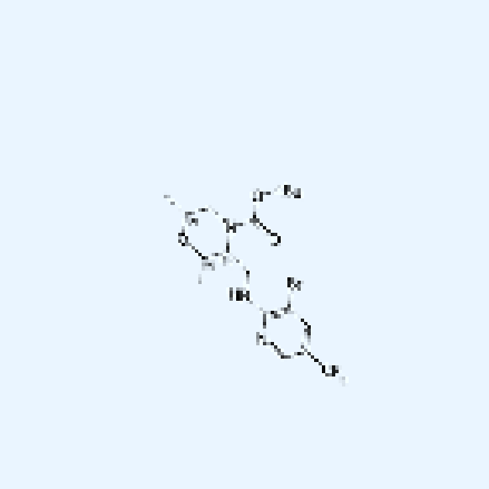 C[C@@H]1CN(C(=O)OC(C)(C)C)[C@H](CNc2ncc(C(F)(F)F)cc2Br)[C@H](C)O1